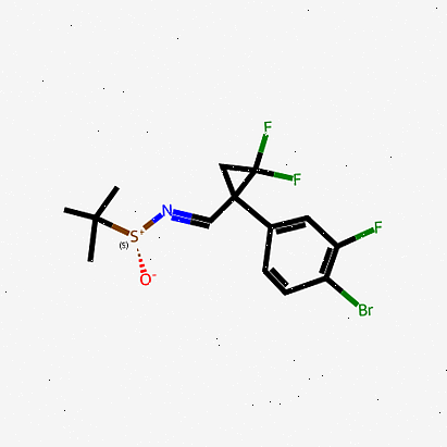 CC(C)(C)[S@@+]([O-])N=CC1(c2ccc(Br)c(F)c2)CC1(F)F